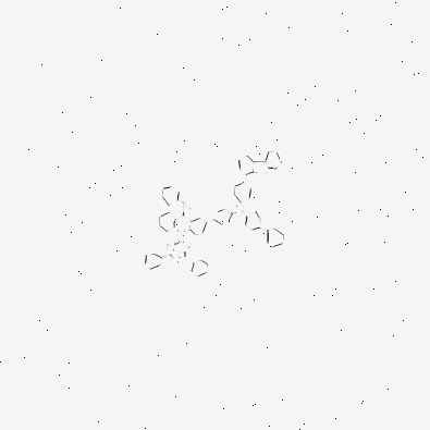 c1ccc(-c2ccc(N(c3ccc(-c4ccc5c(c4)-c4nc6ccccc6c6cccc(c46)N5c4nc(-c5ccccc5)nc(-c5ccccc5)n4)cc3)c3ccc(-c4cccc5c4oc4ccccc45)cc3)cc2)cc1